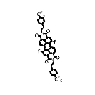 O=C1c2ccc3c4c(F)cc5c6c(ccc(c7c(F)cc(c2c37)C(=O)N1CCc1ccc(C(F)(F)F)cc1)c64)C(=O)N(CCc1ccc(C(F)(F)F)cc1)C5=O